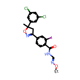 CCON=CNC(=O)c1ccc(C2=NOC(C)(c3cc(Cl)cc(Cl)c3)C2)cc1I